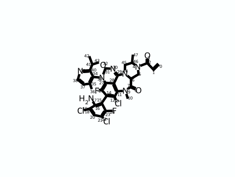 C=CC(=O)N1CC2C(=O)N(C)c3c(Cl)c(-c4c(N)c(Cl)cc(Cl)c4F)c(F)c4c3c(nc(=O)n4-c3c(C)ccnc3C(C)C)N2CC1C